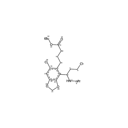 CCCNC(CCCl)c1c(CCCC(=O)OC(C)(C)C)c(Cl)cc2c1OCO2